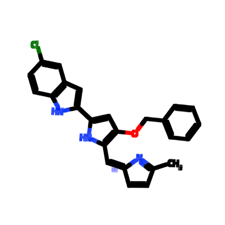 CC1=N/C(=C\c2[nH]c(-c3cc4cc(Cl)ccc4[nH]3)cc2OCc2ccccc2)C=C1